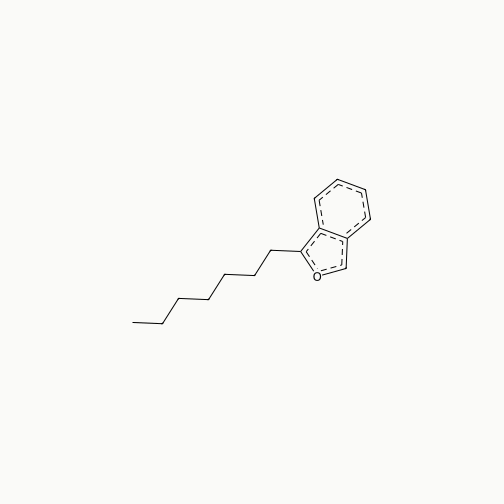 CCCCCCCc1occ2ccccc12